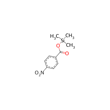 C[Si](C)(C)OC(=O)c1ccc([N+](=O)[O-])cc1